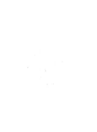 C1=Cc2ccccc21.C=Cc1ccccc1